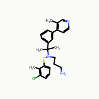 Cc1cnccc1-c1cccc(C(C)(C)N(CCCN)Sc2cccc(Cl)c2C)c1